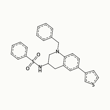 O=S(=O)(NC1Cc2cc(-c3ccsc3)ccc2N(Cc2ccccc2)C1)c1ccccc1